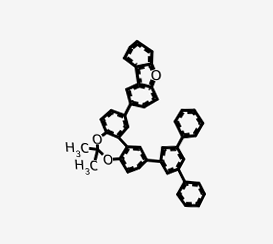 CC1(C)Oc2ccc(-c3cc(-c4ccccc4)cc(-c4ccccc4)c3)cc2-c2cc(-c3ccc4oc5ccccc5c4c3)ccc2O1